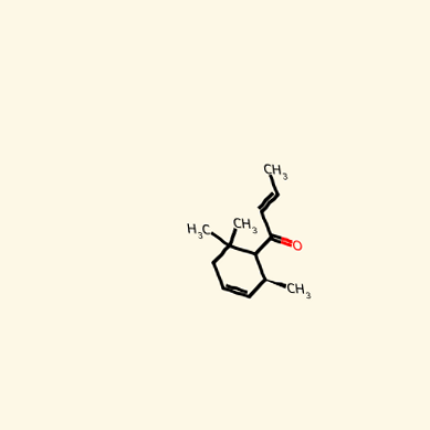 CC=CC(=O)C1[C@@H](C)C=CCC1(C)C